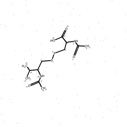 CC(=O)NC(CSSCC(NC(C)=O)C(C)C)C(=O)O